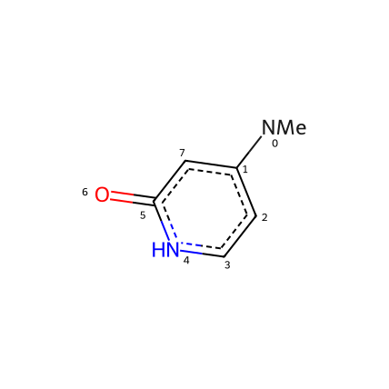 CNc1cc[nH]c(=O)c1